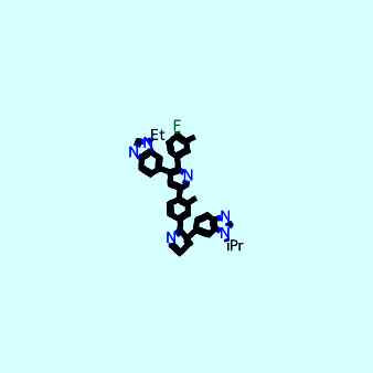 CCn1cnc2ccc(-c3cc(-c4ccc(-c5ncccc5-c5ccc6ncn(C(C)C)c6c5)cc4C)cnc3-c3ccc(F)c(C)c3)cc21